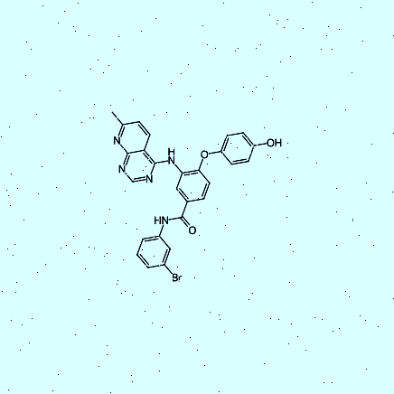 Cc1ccc2c(Nc3cc(C(=O)Nc4cccc(Br)c4)ccc3Oc3ccc(O)cc3)ncnc2n1